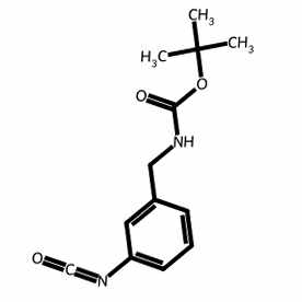 CC(C)(C)OC(=O)NCc1cccc(N=C=O)c1